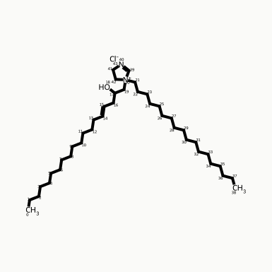 CCCCCCCCCCCCCCC=CCC(O)C[N+]1(CCCCCCCCCCCCCCCCCC)C=NCC1.[Cl-]